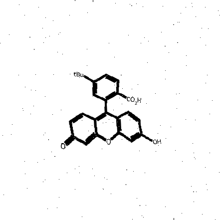 CC(C)(C)c1ccc(C(=O)O)c(-c2c3ccc(=O)cc-3oc3cc(O)ccc23)c1